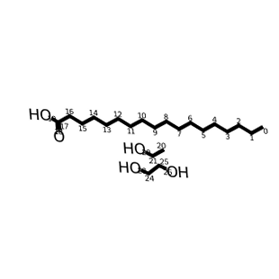 CCCCCCCCCCCCCCCCCC(=O)O.CCO.OCCO